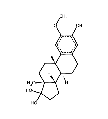 COc1cc2c(cc1O)CC[C@@H]1[C@@H]2CC[C@@]2(C)[C@H]1CCC2(O)O